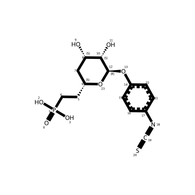 O=P(O)(O)CC[C@@H]1C[C@H](O)[C@H](O)[C@@H](Oc2ccc(N=C=S)cc2)O1